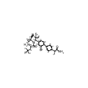 C[C@H](C(N)=O)c1ccc(-c2ccc([C@H](N(C(=O)[C@@H](N)CC(C)(C)F)C3(C#N)CC3)C(F)(F)F)cc2Br)cc1